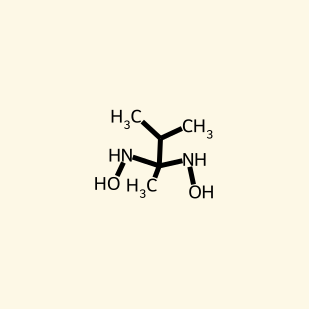 CC(C)C(C)(NO)NO